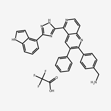 NCc1ccc(-c2nc3ccnc(-c4nc(-c5cccc6[nH]ccc56)n[nH]4)c3cc2-c2ccccc2)cc1.O=C(O)C(F)(F)F